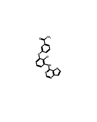 CC(=O)c1cccc(Oc2cccc(Nc3ncnc4c3[N]C=C4)c2Cl)c1